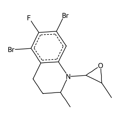 CC1OC1N1c2cc(Br)c(F)c(Br)c2CCC1C